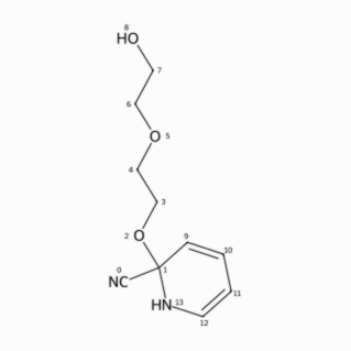 N#CC1(OCCOCCO)C=CC=CN1